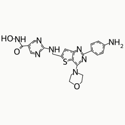 Nc1ccc(-c2nc(N3CCOCC3)c3sc(CNc4ncc(C(=O)NO)cn4)cc3n2)cc1